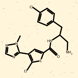 Cn1ncnc1-c1cc(C(=O)NC(CN)Cc2ccc(Cl)cc2)sc1Cl